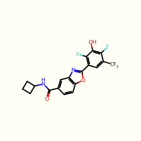 O=C(NC1CCC1)c1ccc2oc(-c3cc(C(F)(F)F)c(F)c(O)c3F)nc2c1